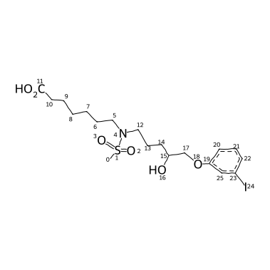 CS(=O)(=O)N(CCCCCCC(=O)O)CCCC(O)COc1cccc(I)c1